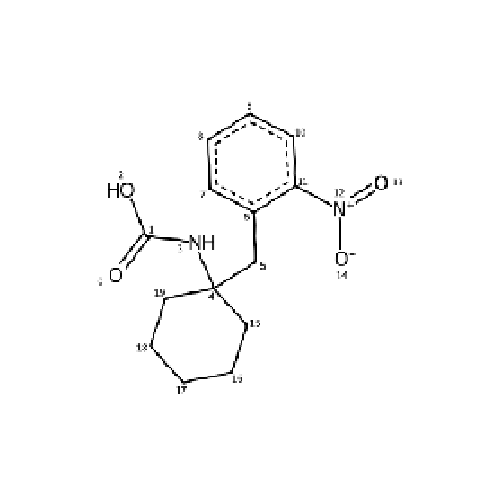 O=C(O)NC1(Cc2ccccc2[N+](=O)[O-])CCCCC1